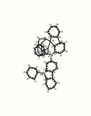 c1ccc(N(c2ccc3c4ccccc4n(-c4ccccc4)c3c2)c2cccc3c2C2(c4ccccc4-3)C3CC4CC(C3)CC2C4)cc1